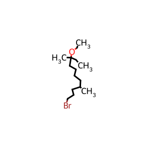 CCOC(C)(CC)CCCCC(C)CCCBr